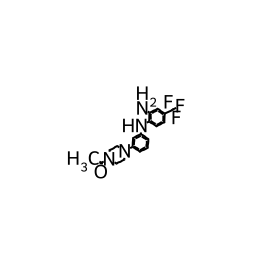 CC(=O)N1CCN(c2cccc(Nc3ccc(C(F)(F)F)cc3N)c2)CC1